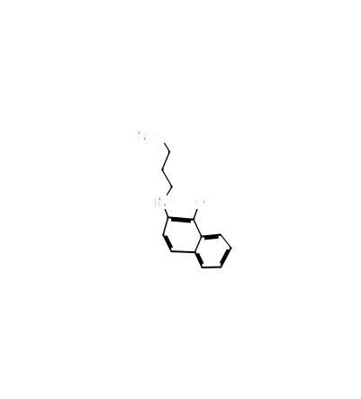 CCCCCCCCCCCCNc1ccc2ccccc2c1O